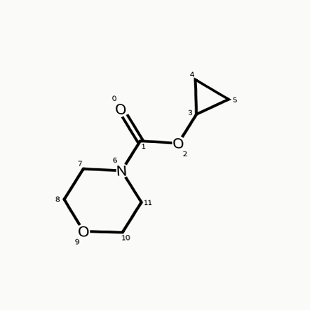 O=C(OC1CC1)N1CCOCC1